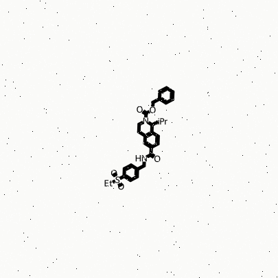 CCS(=O)(=O)c1ccc(CNC(=O)c2ccc3c(c2)CCN(C(=O)OCc2ccccc2)C3C(C)C)cc1